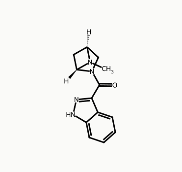 CN1[C@H]2C[C@H]1N(C(=O)c1n[nH]c3ccccc13)C2